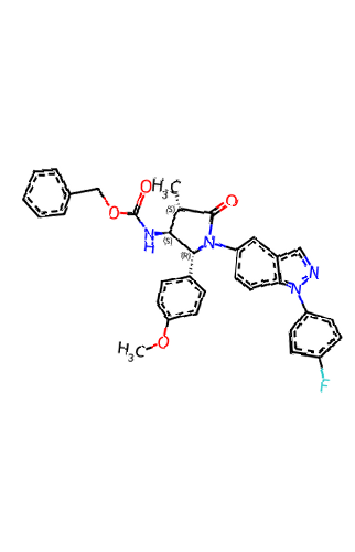 COc1ccc([C@@H]2[C@@H](NC(=O)OCc3ccccc3)[C@H](C)C(=O)N2c2ccc3c(cnn3-c3ccc(F)cc3)c2)cc1